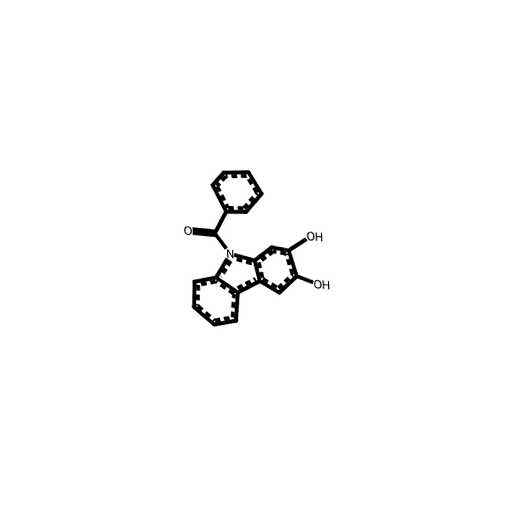 O=C(c1ccccc1)n1c2ccccc2c2cc(O)c(O)cc21